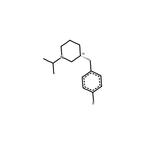 CC(C)N1CCC[C@H](Cc2ccc(F)cc2)C1